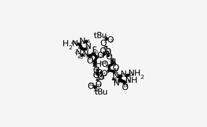 CC(C)(C)C(=O)OCOP1(=O)OC[C@H]2O[C@@H](n3cnc4c(=O)[nH]c(N)nc43)C(OP(=O)(OCOC(=O)C(C)(C)C)OCC3O[C@@H](n4cnc5c(N)ncnc54)C(F)C3O1)C2O